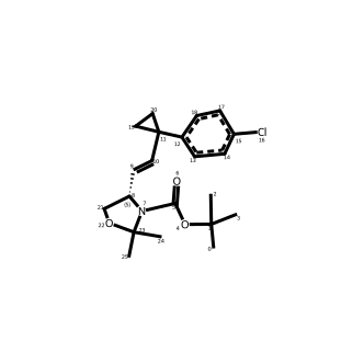 CC(C)(C)OC(=O)N1[C@@H](C=CC2(c3ccc(Cl)cc3)CC2)COC1(C)C